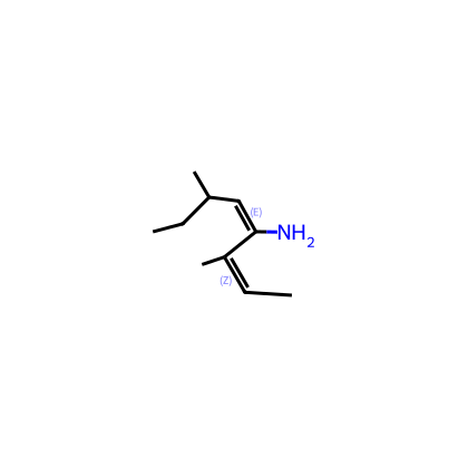 C/C=C(C)\C(N)=C/C(C)CC